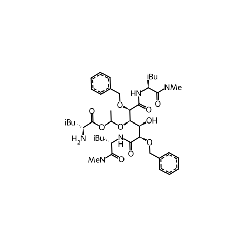 CCC(C)[C@H](NC(=O)[C@H](OCc1ccccc1)[C@H](O)[C@@H](OC(C)OC(=O)[C@@H](N)[C@@H](C)CC)[C@@H](OCc1ccccc1)C(=O)N[C@H](C(=O)NC)C(C)CC)C(=O)NC